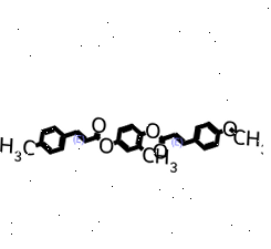 COc1ccc(/C=C/C(=O)Oc2ccc(OC(=O)/C=C/c3ccc(C)cc3)cc2C)cc1